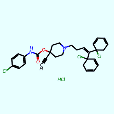 C#CC1(OC(=O)Nc2ccc(Cl)cc2)CCN(CCC=C(C2(Cl)C=CC=CC2)C2(Cl)C=CC=CC2)CC1.Cl